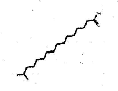 CC(C)CCCCC=CCCCCCCCC(=O)O